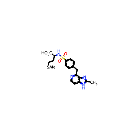 CSCC[C@H](NS(=O)(=O)c1ccc(Cc2nccc3[nH]c(C)nc23)cc1)C(=O)O